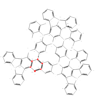 Fc1cccc(F)c1N1c2cc3c(cc2B2c4ccccc4Oc4c2c1c1c2ccccc2n2c5ccccc5c4c12)B1c2cc4c(cc2N(c2c(F)cccc2F)c2c1c(c1c5ccccc5n5c6ccccc6c2c15)N3c1c(F)cccc1F)Oc1c2c(c3c5ccccc5n5c6ccccc6c1c35)Oc1ccccc1B42